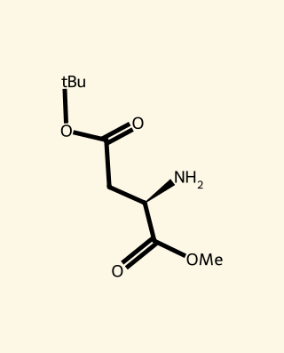 COC(=O)[C@H](N)CC(=O)OC(C)(C)C